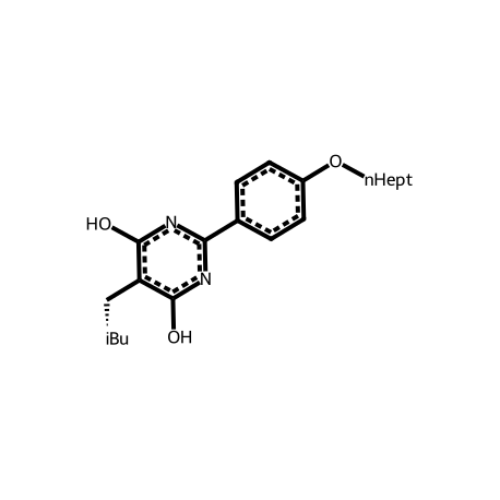 CCCCCCCOc1ccc(-c2nc(O)c(C[C@@H](C)CC)c(O)n2)cc1